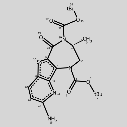 C[C@@H]1CN(C(=O)OC(C)(C)C)c2c(sc3ccc(N)nc23)C(=O)N1C(=O)OC(C)(C)C